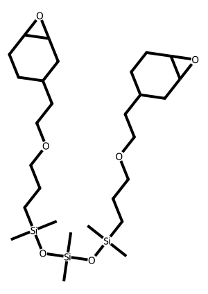 C[Si](C)(CCCOCCC1CCC2OC2C1)O[Si](C)(C)O[Si](C)(C)CCCOCCC1CCC2OC2C1